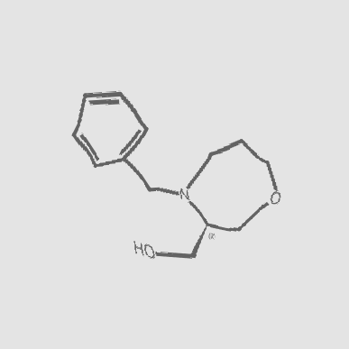 OC[C@@H]1COCCCN1Cc1ccccc1